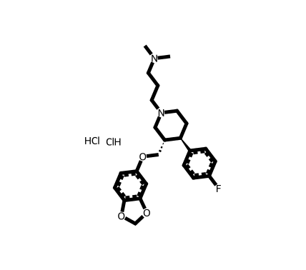 CN(C)CCCN1CC[C@@H](c2ccc(F)cc2)[C@H](COc2ccc3c(c2)OCO3)C1.Cl.Cl